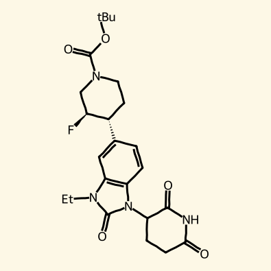 CCn1c(=O)n(C2CCC(=O)NC2=O)c2ccc([C@H]3CCN(C(=O)OC(C)(C)C)C[C@@H]3F)cc21